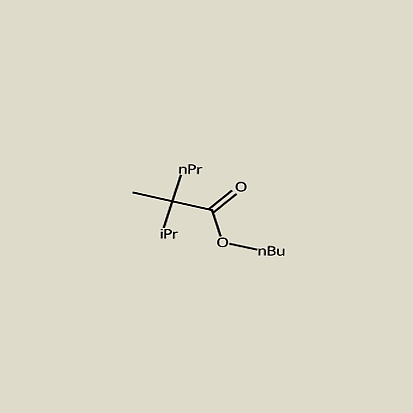 CCCCOC(=O)C(C)(CCC)C(C)C